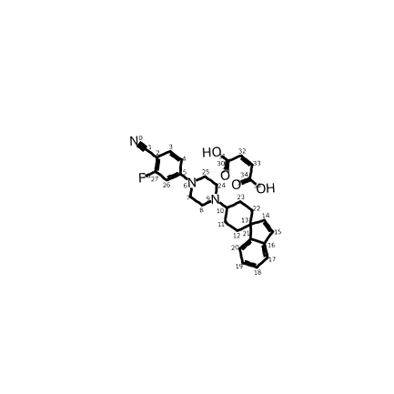 N#Cc1ccc(N2CCN(C3CCC4(C=Cc5ccccc54)CC3)CC2)cc1F.O=C(O)/C=C\C(=O)O